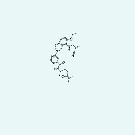 C=C(C#N)CNc1c(OCC)ccc2ccc(-c3nccc(C(=O)N[C@H]4CC[C@@H](N(C)C)CC4)n3)cc12